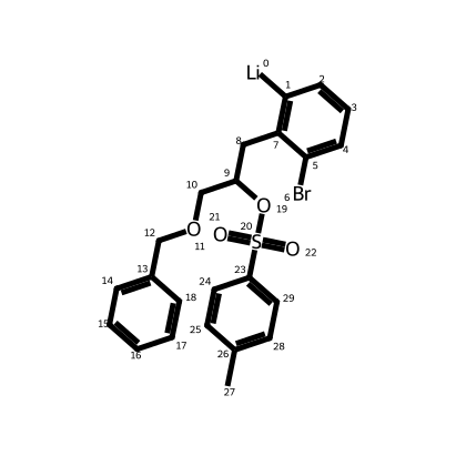 [Li][c]1cccc(Br)c1CC(COCc1ccccc1)OS(=O)(=O)c1ccc(C)cc1